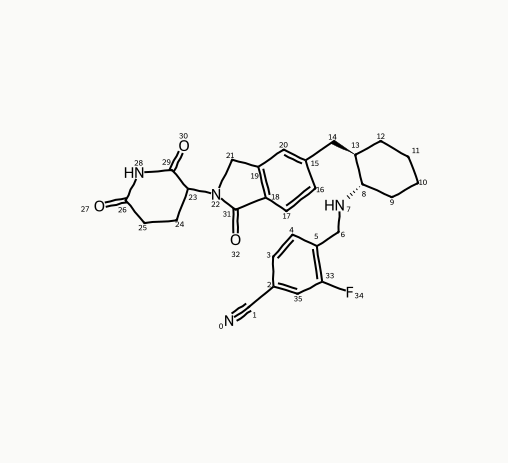 N#Cc1ccc(CN[C@H]2CCCC[C@@H]2Cc2ccc3c(c2)CN(C2CCC(=O)NC2=O)C3=O)c(F)c1